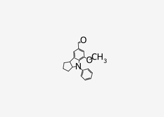 COc1cc(C=O)cc2c1N(c1ccccc1)C1CCCC21